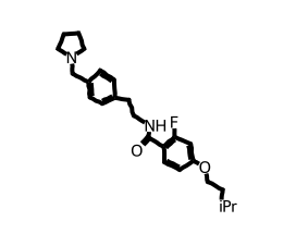 CC(C)CCOc1ccc(C(=O)NCCc2ccc(CN3CCCC3)cc2)c(F)c1